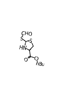 CCCCOC(=O)C1CSC(SC=O)N1